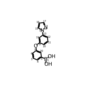 OB(O)c1cccc(Oc2cccc(-n3cccn3)c2)c1